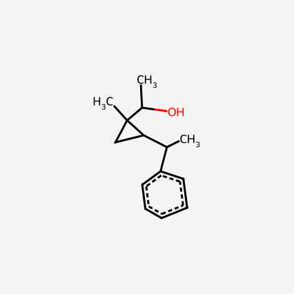 CC(c1ccccc1)C1CC1(C)C(C)O